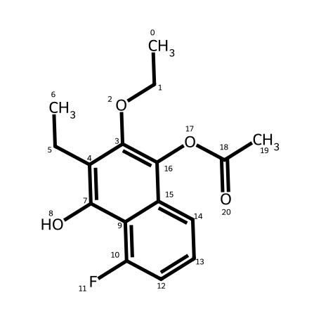 CCOc1c(CC)c(O)c2c(F)cccc2c1OC(C)=O